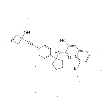 N#CC(=Cc1cccc(Br)n1)C(=O)NC1(c2ccc(C#CC3(O)COC3)cc2)CCCC1